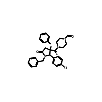 O=CN1CCN(C(=O)C2(Sc3ccccc3)CC(=O)N(Cc3ccccc3)C2c2ccc(Cl)cc2)CC1